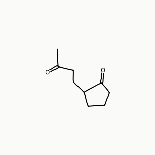 CC(=O)CCC1CCCC1=O